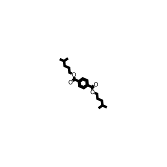 CC(C)CCCOC(=O)c1ccc(C(=O)OCCCC(C)C)cc1